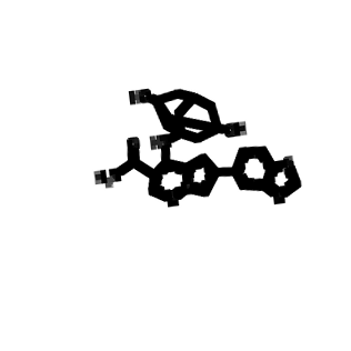 NC(=O)c1cnn2cc(-c3ccc4scnc4c3)cc2c1NC12CC3CC(O)(CC(O)(C3)C1)C2